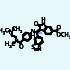 COC(=O)c1ccc2c(c1)NC(=O)/C2=C(\Nc1ccc(C(=O)N(C)CCN(C)C)cc1)c1ccc2ncsc2c1